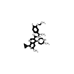 CCOc1cc([C@H](C)NC(=O)c2cnc3c(C4CC4)nc(C)cc3c2N2CCN[C@H](C)CC2)ccc1F